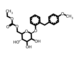 CCOC(=O)OCC1O[C@@H](Oc2ccccc2Cc2ccc(OC)cc2)C(O)C(O)[C@@H]1O